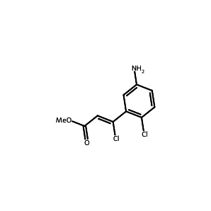 COC(=O)C=C(Cl)c1cc(N)ccc1Cl